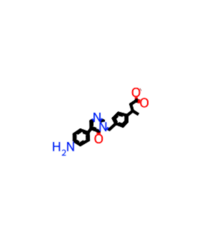 COC(=O)CC(C)c1ccc(Cn2cncc(-c3ccc(N)cc3)c2=O)cc1